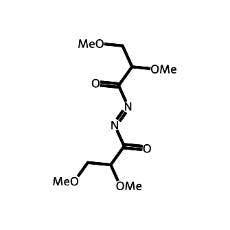 COCC(OC)C(=O)N=NC(=O)C(COC)OC